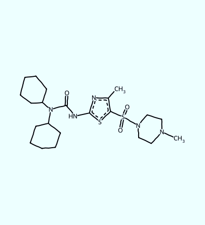 Cc1nc(NC(=O)N(C2CCCCC2)C2CCCCC2)sc1S(=O)(=O)N1CCN(C)CC1